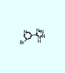 Brc1cncc(-c2nnn[nH]2)c1